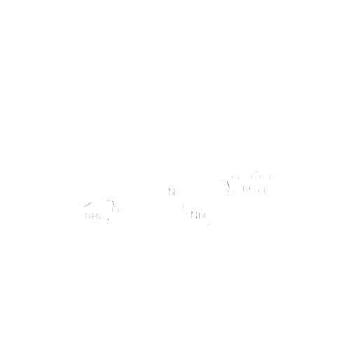 CCCCCC/C=C\COC(=O)CCCCCCCN(CCCN)CCCCCCCC(=O)OC(CCCCCCCC)CCCCCCCC